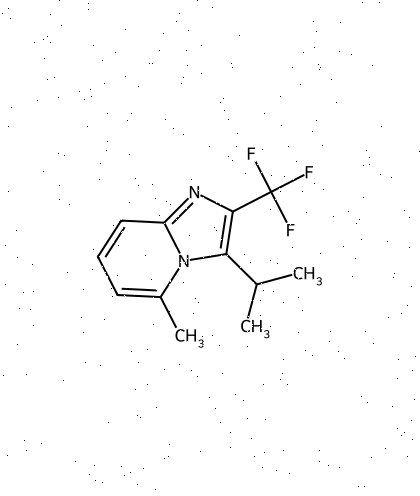 Cc1cccc2nc(C(F)(F)F)c(C(C)C)n12